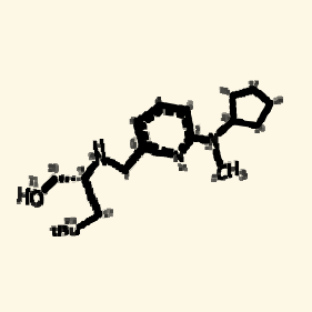 CN(c1cccc(CN[C@@H](CO)CC(C)(C)C)n1)C1CCCC1